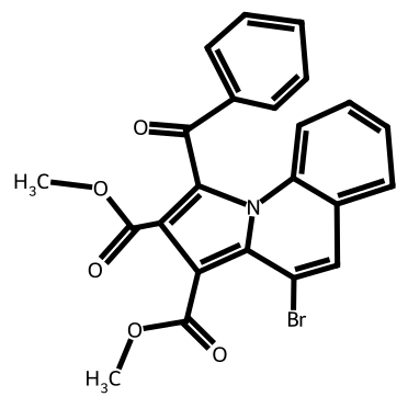 COC(=O)c1c(C(=O)OC)c2c(Br)cc3ccccc3n2c1C(=O)c1ccccc1